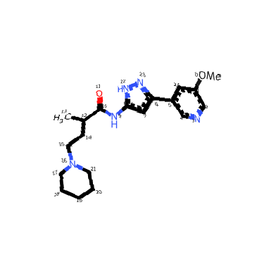 COc1cncc(-c2cc(NC(=O)C(C)CCN3CCCCC3)[nH]n2)c1